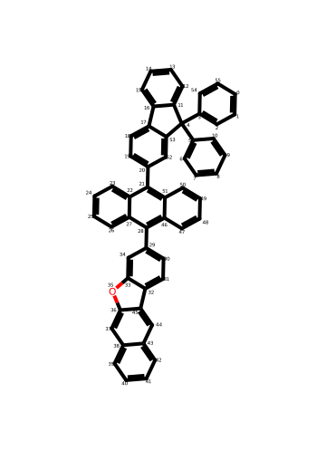 c1ccc(C2(c3ccccc3)c3ccccc3-c3ccc(-c4c5ccccc5c(-c5ccc6c(c5)oc5cc7ccccc7cc56)c5ccccc45)cc32)cc1